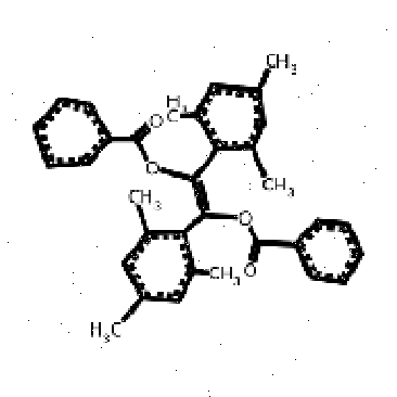 Cc1cc(C)c(/C(OC(=O)c2ccccc2)=C(\OC(=O)c2ccccc2)c2c(C)cc(C)cc2C)c(C)c1